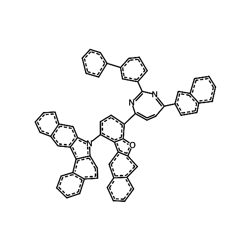 C1=CC(c2ccc3ccccc3c2)=NC(c2cccc(-c3ccccc3)c2)=NC=1c1ccc(-n2c3cc4ccccc4cc3c3c4ccccc4ccc32)c2c1oc1cc3ccccc3cc12